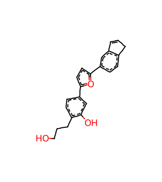 OCCCc1ccc(-c2ccc(-c3ccc4c(c3)C=CC4)o2)cc1O